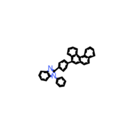 c1ccc(-n2c(-c3ccc(-c4cc5ccc6ccccc6c5c5ccccc45)cc3)nc3ccccc32)cc1